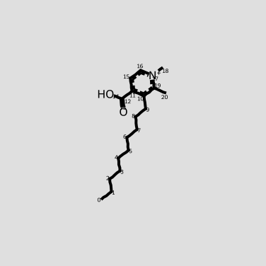 CCCCCCCCCCc1c(C(=O)O)cc[n+](C)c1C